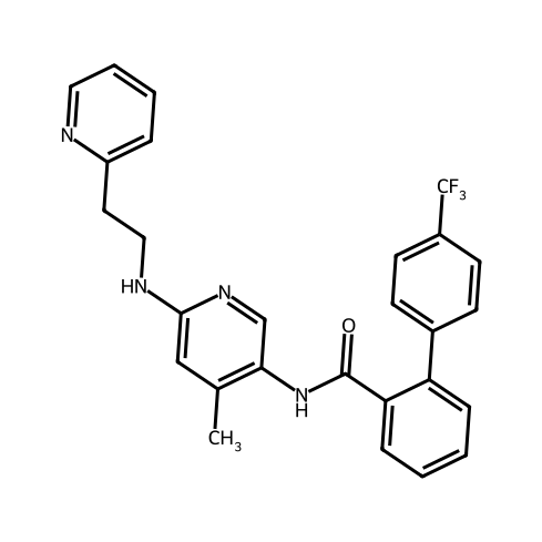 Cc1cc(NCCc2ccccn2)ncc1NC(=O)c1ccccc1-c1ccc(C(F)(F)F)cc1